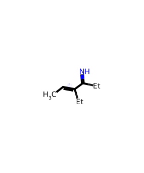 C/C=C(\CC)C(=N)CC